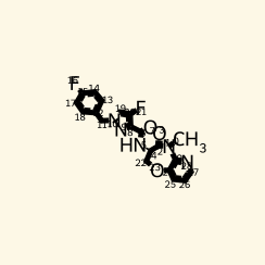 CN1C(=O)[C@@H](NC(=O)c2nn(Cc3ccc(F)cc3)cc2F)COc2cccnc21